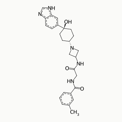 Cc1cccc(C(=O)NCC(=O)NC2CN([C@H]3CC[C@@](O)(c4ccc5nc[nH]c5c4)CC3)C2)c1